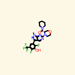 Cn1nc(-c2cc(C(F)(F)F)c(F)c(O)c2F)c2cnc(N3CCOC[C@H]3C(=O)N3CCCCC3)nc21